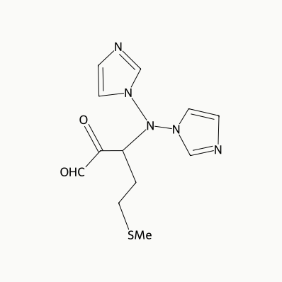 CSCCC(C(=O)C=O)N(n1ccnc1)n1ccnc1